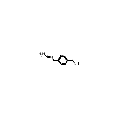 NCc1ccc(CN=NN)cc1